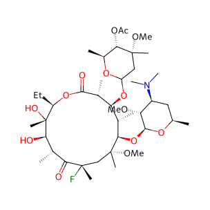 CC[C@H]1OC(=O)[C@H](C)[C@@H](OC2C[C@@](C)(OC)[C@@H](OC(C)=O)[C@H](C)O2)[C@H](C)[C@@H](O[C@@H]2O[C@H](C)C[C@H](N(C)C)[C@H]2OC)[C@](C)(OC)C[C@](C)(F)C(=O)[C@H](C)[C@@H](O)[C@]1(C)O